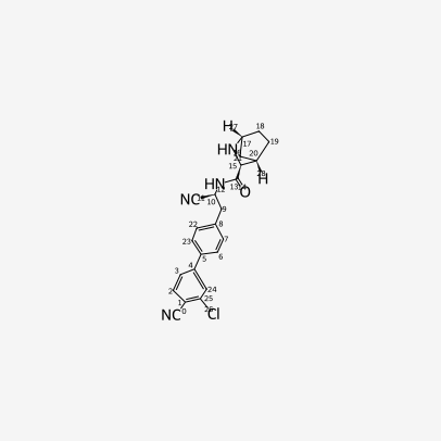 N#Cc1ccc(-c2ccc(C[C@@H](C#N)NC(=O)[C@H]3N[C@@H]4CC[C@H]3C4)cc2)cc1Cl